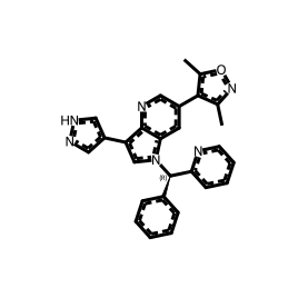 Cc1noc(C)c1-c1cnc2c(-c3cn[nH]c3)cn([C@H](c3ccccc3)c3ccccn3)c2c1